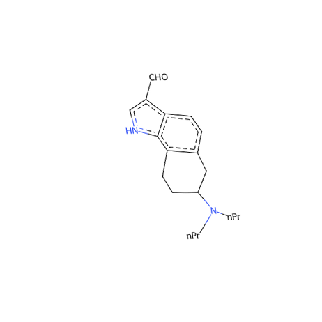 CCCN(CCC)C1CCc2c(ccc3c(C=O)c[nH]c23)C1